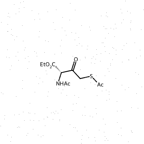 CCOC(=O)[C@@H](NC(C)=O)C(=O)CSC(C)=O